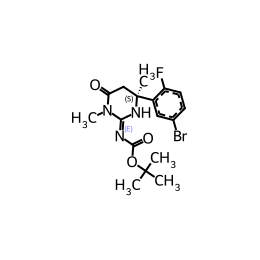 CN1C(=O)C[C@@](C)(c2cc(Br)ccc2F)N/C1=N\C(=O)OC(C)(C)C